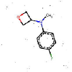 CN(c1ccc(F)cc1)C1COC1